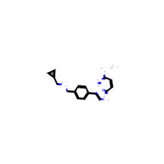 CCCCNc1ccc2ncc(-c3ccc(CNCC4CC4)cc3)n2n1